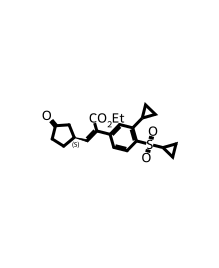 CCOC(=O)C(=C[C@H]1CCC(=O)C1)c1ccc(S(=O)(=O)C2CC2)c(C2CC2)c1